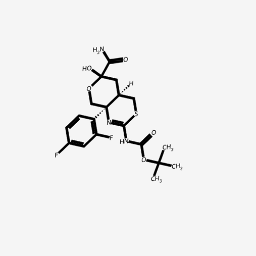 CC(C)(C)OC(=O)NC1=N[C@@]2(c3ccc(F)cc3F)COC(O)(C(N)=O)C[C@H]2CS1